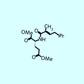 COC(=O)CC[C@@H](NC(=O)C(C)=CCC(C)C)C(=O)OC